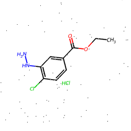 CCOC(=O)c1ccc(Cl)c(NN)c1.Cl